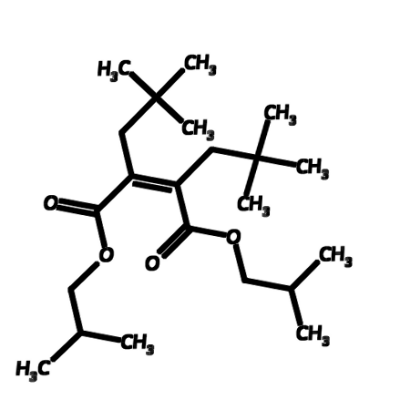 CC(C)COC(=O)C(CC(C)(C)C)=C(CC(C)(C)C)C(=O)OCC(C)C